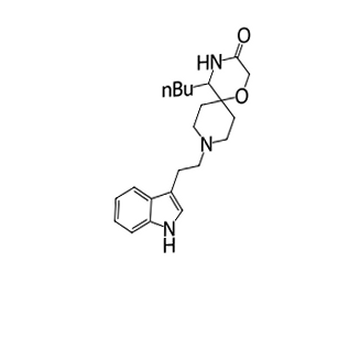 CCCCC1NC(=O)COC12CCN(CCc1c[nH]c3ccccc13)CC2